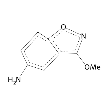 COc1noc2ccc(N)cc12